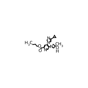 CCCCOC(=O)c1cc(-n2cnc(C3CC3)c2)c(N2CC(C)(O)C2)cn1